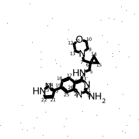 Nc1nc(NCC2(CN3CCOCC3)CC2)c2ccc(-c3cc[nH]n3)cc2n1